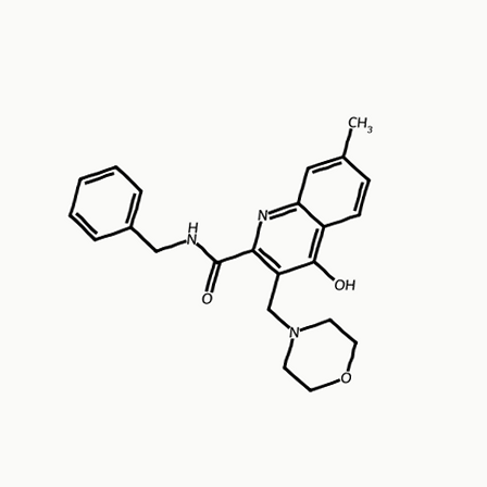 Cc1ccc2c(O)c(CN3CCOCC3)c(C(=O)NCc3ccccc3)nc2c1